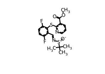 COC(=O)c1cccnc1Sc1c(F)ccc(F)c1C=N[S+]([O-])C(C)(C)C